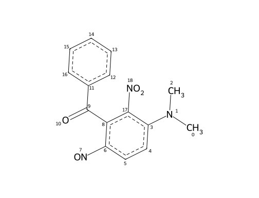 CN(C)c1ccc(N=O)c(C(=O)c2ccccc2)c1[N+](=O)[O-]